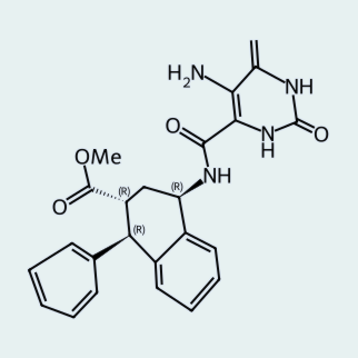 C=C1NC(=O)NC(C(=O)N[C@@H]2C[C@@H](C(=O)OC)[C@H](c3ccccc3)c3ccccc32)=C1N